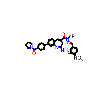 CCCN(OCc1ccc([N+](=O)[O-])cc1)C(=O)C1=Cc2ccc(-c3ccc(C(=O)N4CCCC4)cc3)cc2N=C(N)C1